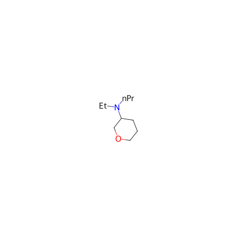 CCCN(CC)C1CCCOC1